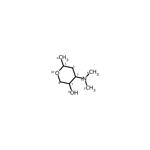 CC1CC(N(C)C)C(O)CO1